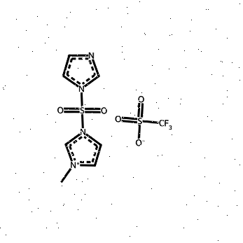 C[n+]1ccn(S(=O)(=O)n2ccnc2)c1.O=S(=O)([O-])C(F)(F)F